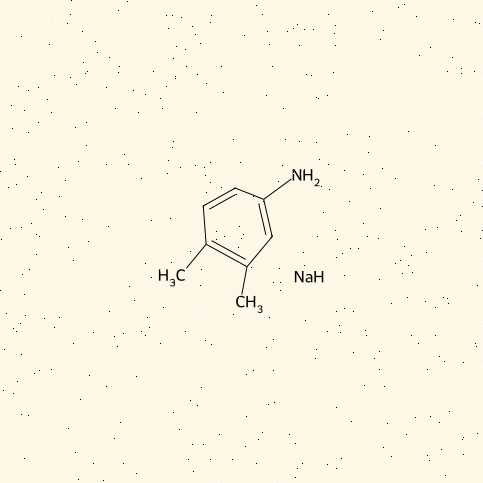 Cc1ccc(N)cc1C.[NaH]